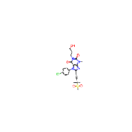 Cn1c(=O)n(CCCO)c(=O)c2c1nc(C#CC(C)(C)S(C)(=O)=O)n2-c1ccc(Cl)cc1